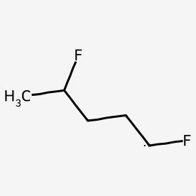 CC(F)CC[CH]F